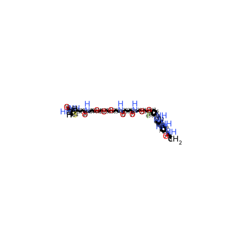 C=CC(=O)Nc1cccc(Nc2nc(Nc3ccc(OCCOCCNC(=O)CCCC(=O)NCCCOCCOCCOCCCNC(=O)CCCC4SC[C@@H]5NC(=O)N[C@H]45)c(F)c3)ncc2N)c1